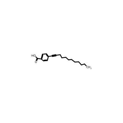 CCCCCCCCCCC#Cc1ccc(C(=O)O)cc1